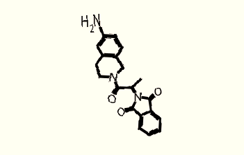 CC(C(=O)N1CCc2cc(N)ccc2C1)N1C(=O)c2ccccc2C1=O